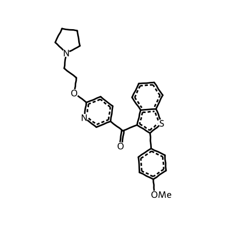 COc1ccc(-c2sc3ccccc3c2C(=O)c2ccc(OCCN3CCCC3)nc2)cc1